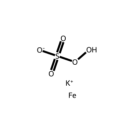 O=S(=O)([O-])OO.[Fe].[K+]